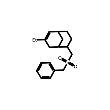 CCC1=CC2CCC(CS(=O)(=O)Cc3ccccc3)C(C1)C2